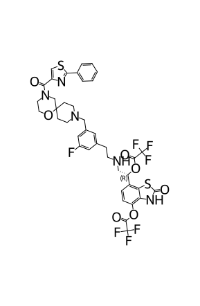 O=C(c1csc(-c2ccccc2)n1)N1CCOC2(CCN(Cc3cc(F)cc(CCNC[C@H](OC(=O)C(F)(F)F)c4ccc(OC(=O)C(F)(F)F)c5[nH]c(=O)sc45)c3)CC2)C1